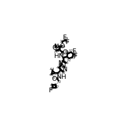 O=C(C[C@]12C[C@](F)(C1)C2)N[C@@H](c1cnn2cc([C@@H](NC(=O)c3conc3OCC(F)F)C3CCC(F)(F)CC3)nc2c1)C1CC1